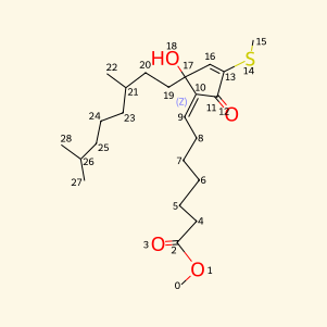 COC(=O)CCCCC/C=C1\C(=O)C(SC)=CC1(O)CCC(C)CCCC(C)C